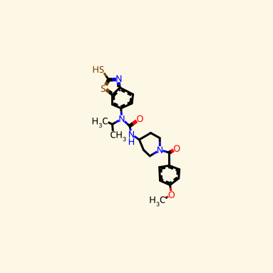 COc1ccc(C(=O)N2CCC(NC(=O)N(c3ccc4nc(S)sc4c3)C(C)C)CC2)cc1